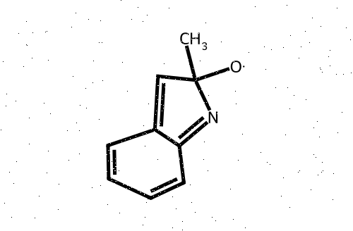 CC1([O])C=c2ccccc2=N1